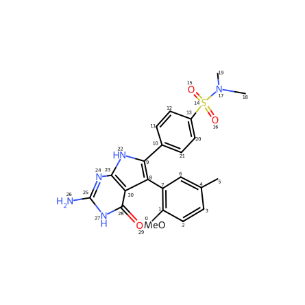 COc1ccc(C)cc1-c1c(-c2ccc(S(=O)(=O)N(C)C)cc2)[nH]c2nc(N)[nH]c(=O)c12